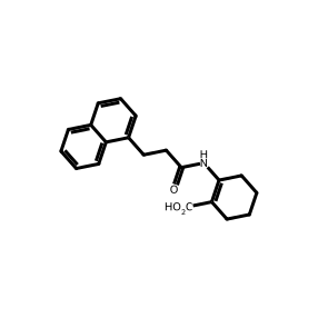 O=C(CCc1cccc2ccccc12)NC1=C(C(=O)O)CCCC1